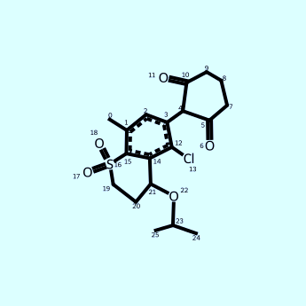 Cc1cc(C2C(=O)CCCC2=O)c(Cl)c2c1S(=O)(=O)CCC2OC(C)C